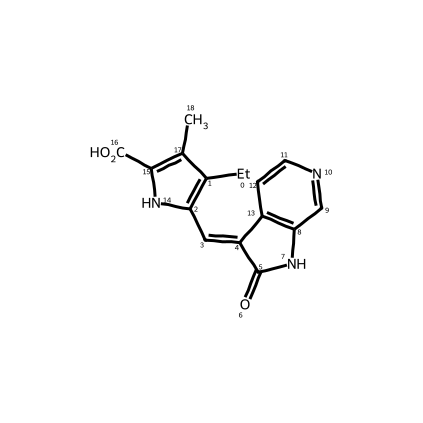 CCc1c(C=C2C(=O)Nc3cnccc32)[nH]c(C(=O)O)c1C